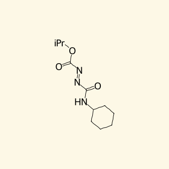 CC(C)OC(=O)/N=N/C(=O)NC1CCCCC1